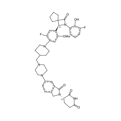 COc1cc(N2CCC(CN3CCN(c4ccc5c(c4)C(=O)N([C@H]4CCC(=O)NC4=O)C5)CC3)CC2)c(F)cc1[C@@H]1N(c2cccc(F)c2O)C(=O)C12CCCC2